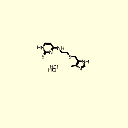 Cc1nc[nH]c1CSCCNc1cc[nH]c(=S)n1.Cl.Cl